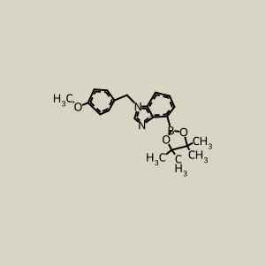 COc1ccc(Cn2cnc3c(B4OC(C)(C)C(C)(C)O4)cccc32)cc1